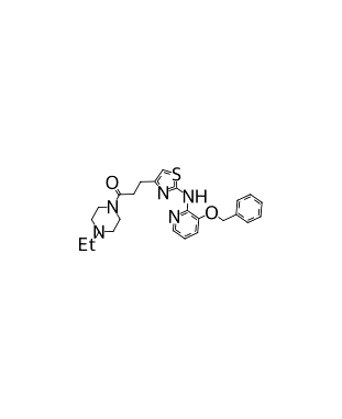 CCN1CCN(C(=O)CCc2csc(Nc3ncccc3OCc3ccccc3)n2)CC1